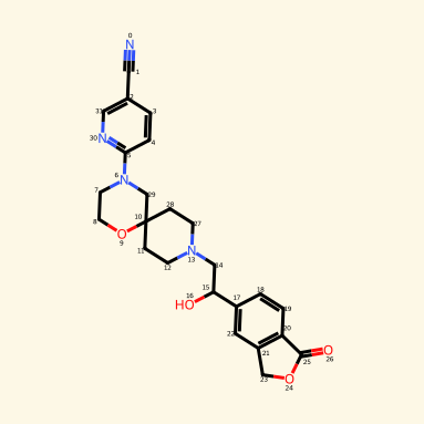 N#Cc1ccc(N2CCOC3(CCN(CC(O)c4ccc5c(c4)COC5=O)CC3)C2)nc1